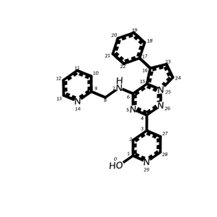 Oc1cc(-c2nc(NCc3ccccn3)c3c(-c4ccccc4)ccn3n2)ccn1